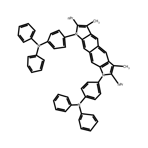 CCCc1c(C)c2cc3cc4c(C)c(CCC)n(-c5ccc(N(c6ccccc6)c6ccccc6)cc5)c4cc3cc2n1-c1ccc(N(c2ccccc2)c2ccccc2)cc1